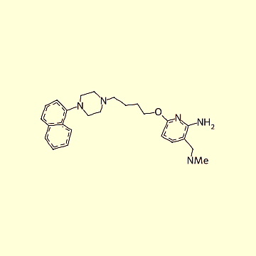 CNCc1ccc(OCCCCN2CCN(c3cccc4ccccc34)CC2)nc1N